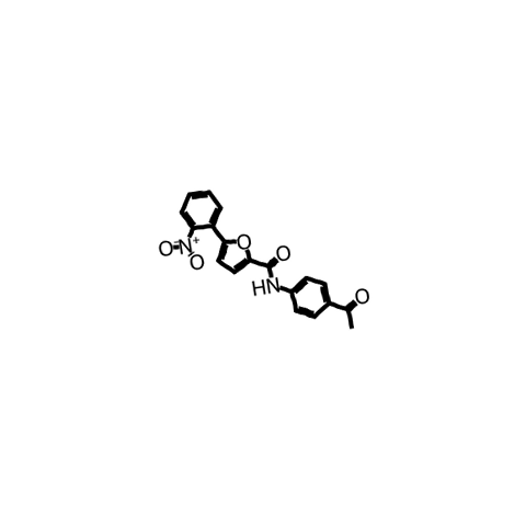 CC(=O)c1ccc(NC(=O)c2ccc(-c3ccccc3[N+](=O)[O-])o2)cc1